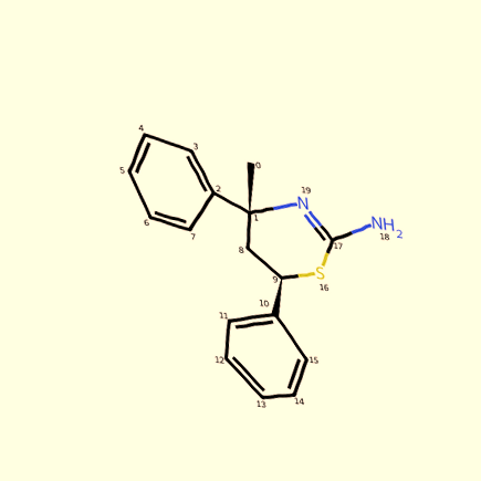 C[C@]1(c2ccccc2)C[C@H](c2ccccc2)SC(N)=N1